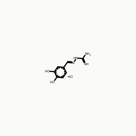 Cl.N=C(N)NN=Cc1ccc(O)c(O)c1